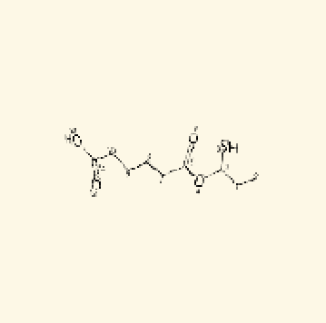 CCC(S)OC(=O)CCCCC(=O)O